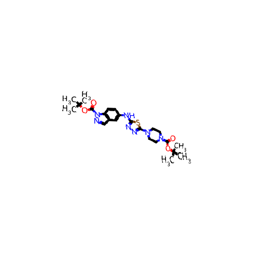 CC(C)(C)OC(=O)N1CCN(c2nnc(Nc3ccc4c(cnn4C(=O)OC(C)(C)C)c3)s2)CC1